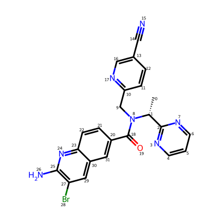 C[C@H](c1ncccn1)N(Cc1ccc(C#N)cn1)C(=O)c1ccc2nc(N)c(Br)cc2c1